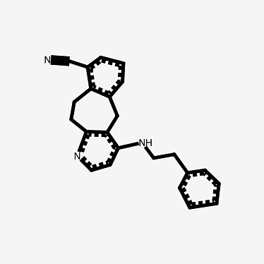 N#Cc1cccc2c1CCc1nccc(NCCc3ccccc3)c1C2